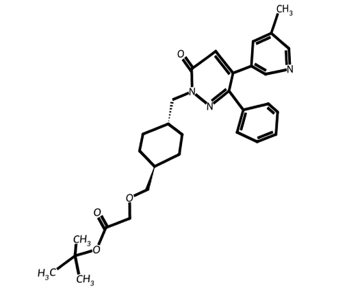 Cc1cncc(-c2cc(=O)n(C[C@H]3CC[C@H](COCC(=O)OC(C)(C)C)CC3)nc2-c2ccccc2)c1